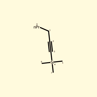 [CH2]CCCC#C[Si](C)(C)C